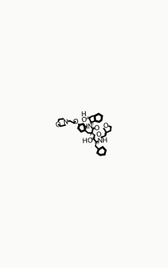 O=C(C=C1CCOC1)N[C@@H](Cc1ccccc1)[C@@H](O)C[C@@H](Cc1ccc(OCCN2CCOCC2)cc1)C(=O)N[C@H]1c2ccccc2C[C@H]1O